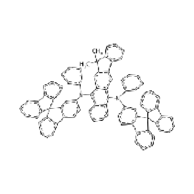 CC1(C)c2ccccc2-c2cc3c(N(c4ccccc4)c4ccc5c(c4)C4(c6ccccc6-c6ccccc64)c4ccccc4-5)c4ccccc4c(N(c4ccccc4)c4ccc5c(c4)C4(c6ccccc6-c6ccccc64)c4ccccc4-5)c3cc21